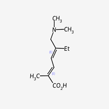 CC/C(=C\C=C(/C)C(=O)O)CN(C)C